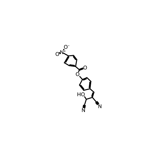 N#CC(=Cc1ccc(OC(=O)c2ccc([N+](=O)[O-])cc2)cc1)C(O)C#N